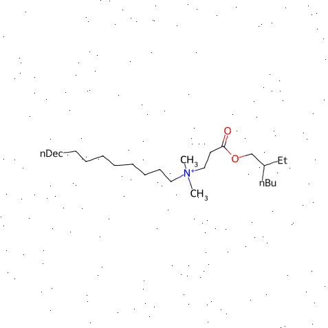 CCCCCCCCCCCCCCCCCC[N+](C)(C)CCC(=O)OCC(CC)CCCC